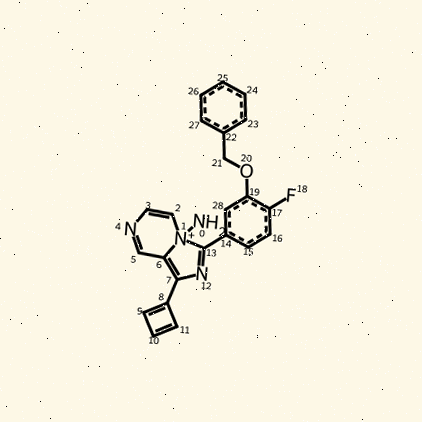 N[N+]12C=CN=CC1=C(C1=CC=C1)N=C2c1ccc(F)c(OCc2ccccc2)c1